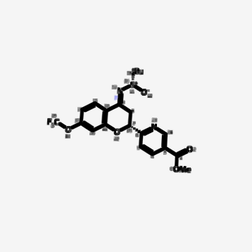 COC(=O)c1ccc([C@H]2C/C(=N\[S@@+]([O-])C(C)(C)C)c3ccc(OC(F)(F)F)cc3O2)nc1